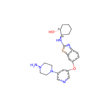 NN1CCN(c2cncc(Oc3ccc4nc(N[C@@H]5CCCC[C@H]5O)sc4c3)c2)CC1